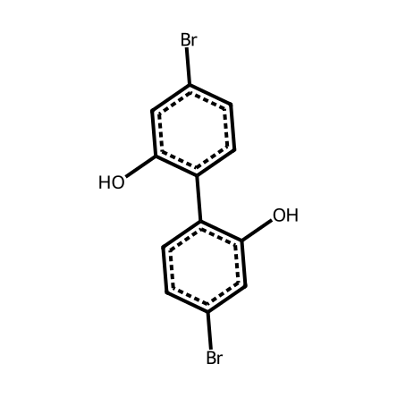 Oc1cc(Br)ccc1-c1ccc(Br)cc1O